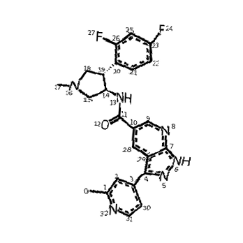 Cc1cc(-c2n[nH]c3ncc(C(=O)N[C@H]4CN(C)C[C@@H]4c4ccc(F)cc4F)cc23)ccn1